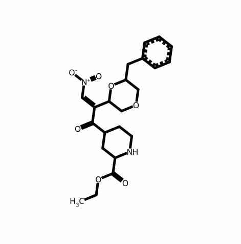 CCOC(=O)C1CC(C(=O)/C(=C/[N+](=O)[O-])C2COCC(Cc3ccccc3)O2)CCN1